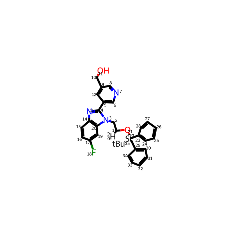 [2H]C(Cn1c(-c2cncc(CO)c2)nc2ccc(F)cc21)O[Si](c1ccccc1)(c1ccccc1)C(C)(C)C